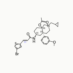 COc1cccc([C@@]23CCN(CC4CC4)C[C@@]2(OC(C)=O)CC[C@H](NC(=O)/C=C/c2cc(Br)cs2)C3)c1